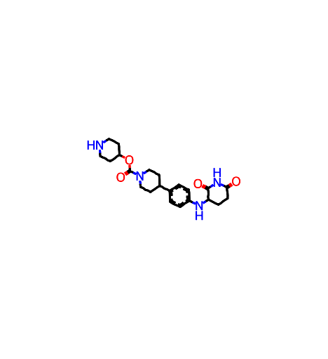 O=C1CCC(Nc2ccc(C3CCN(C(=O)OC4CCNCC4)CC3)cc2)C(=O)N1